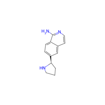 Nc1nccc2cc([C@H]3CCCN3)ccc12